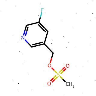 CS(=O)(=O)OCc1cncc(F)c1